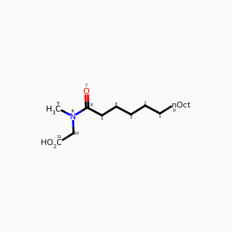 CCCCCCCCCCCCCC(=O)N(C)CC(=O)O